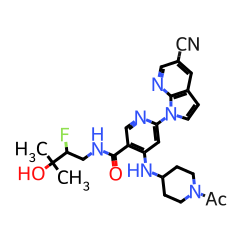 CC(=O)N1CCC(Nc2cc(-n3ccc4cc(C#N)cnc43)ncc2C(=O)NCC(F)C(C)(C)O)CC1